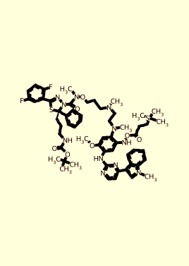 COc1cc(N(C)CCN(C)CCCON(C)C(=O)N2N=C(c3cc(F)ccc3F)S[C@@]2(CCCNC(=O)OC(C)(C)C)c2ccccc2)c(NOC(=O)CC[Si](C)(C)C)cc1Nc1nccc(-c2cn(C)c3ccccc23)n1